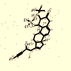 CC[Si](CC)(CC)OC1C([SiH2]C(C)(C)C(C)C)C(=O)CC2=CC=C3[C@@H]4CC=C([C@H](C)C(O)C#CC(C)C)[C@@]4(C)CC[C@@H]3[C@]21C